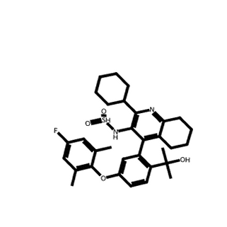 Cc1cc(F)cc(C)c1Oc1ccc(C(C)(C)O)c(-c2c3c(nc(C4CCCCC4)c2N[SH](=O)=O)CCCC3)c1